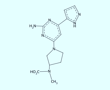 CN(C(=O)O)C1CCN(c2cc(-c3ccn[nH]3)nc(N)n2)C1